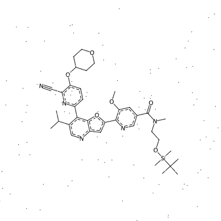 COc1cc(C(=O)N(C)CCO[Si](C)(C)C(C)(C)C)cnc1-c1cc2ncc(C(C)C)c(-c3ccc(OC4CCOCC4)c(C#N)n3)c2o1